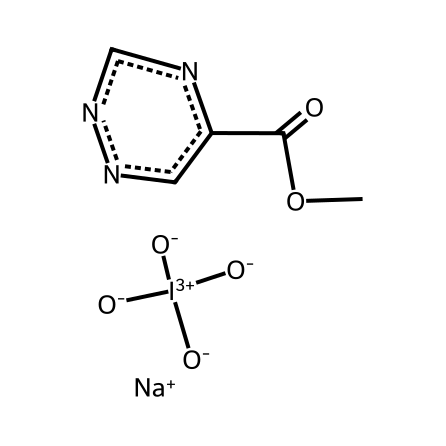 COC(=O)c1cnncn1.[Na+].[O-][I+3]([O-])([O-])[O-]